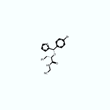 CC(C)C[C@H](O[C@@H](c1ccc(Br)cc1)c1cccs1)C(=O)NCC#N